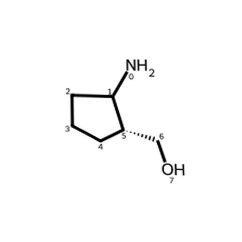 NC1CCC[C@H]1CO